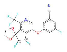 N#Cc1cc(F)cc(Oc2cnc(C(F)(F)F)c3c2[C@@H](F)[C@@H](F)C32OCCO2)c1